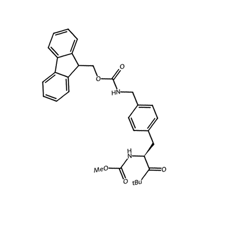 COC(=O)N[C@@H](Cc1ccc(CNC(=O)OCC2c3ccccc3-c3ccccc32)cc1)C(=O)C(C)(C)C